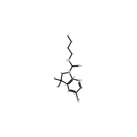 CCCCOC(=O)N1CC(C)(C)c2cc(Br)cnc21